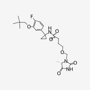 C[C@H]1C(=O)NC(=O)N1COCCCS(=O)(=O)NC1(c2ccc(F)c(OCC(C)(C)C)c2)CC1